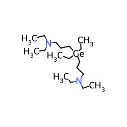 CCN(CC)CC[CH2][Ge]([CH2]C)([CH2]C)[CH2]CCN(CC)CC